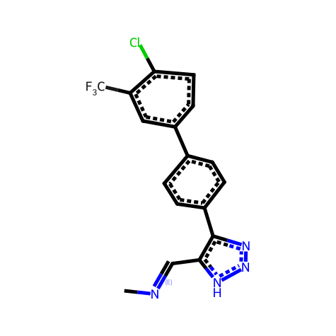 C/N=C/c1[nH]nnc1-c1ccc(-c2ccc(Cl)c(C(F)(F)F)c2)cc1